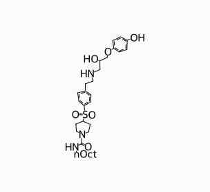 CCCCCCCCNC(=O)N1CCC(S(=O)(=O)c2ccc(CCNC[C@H](O)COc3ccc(O)cc3)cc2)CC1